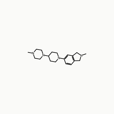 CN1CCN(C2CCN(c3ccc4c(c3)CN(C)C4)CC2)CC1